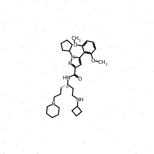 COc1cccc(OC)c1-c1cc(C(=O)N[C@@H](CCCN2CCCCC2)CCNC2CCC2)nn1C1CCCC1